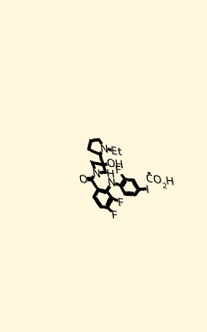 CC(=O)O.CCN1CCCC1C1(O)CN(C(=O)c2ccc(F)c(F)c2Nc2ccc(I)cc2F)C1